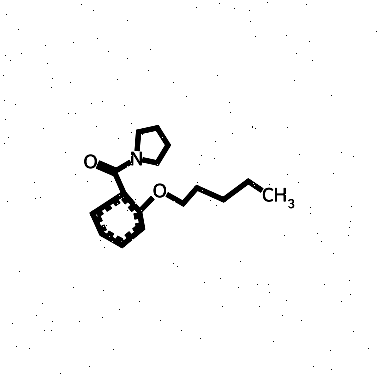 CCCCCOc1ccccc1C(=O)N1CCCC1